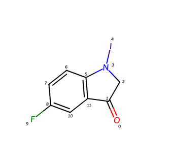 O=C1CN(I)c2ccc(F)cc21